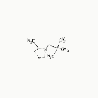 CC1CCCN1CC(C)(C)C